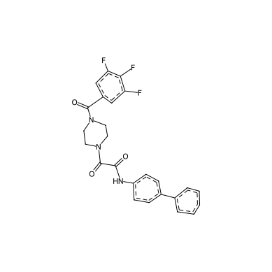 O=C(Nc1ccc(-c2ccccc2)cc1)C(=O)N1CCN(C(=O)c2cc(F)c(F)c(F)c2)CC1